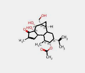 C=C(C)[C@H]1CC2C(C3C=C(C)C(=O)[C@@]3(O)[C@H](O)[C@@]3(CO)C[C@@H]23)[C@H](C)[C@H]1OC(C)=O